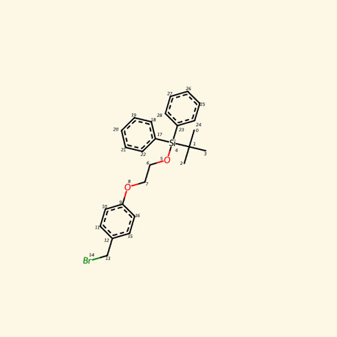 CC(C)(C)[Si](OCCOc1ccc(CBr)cc1)(c1ccccc1)c1ccccc1